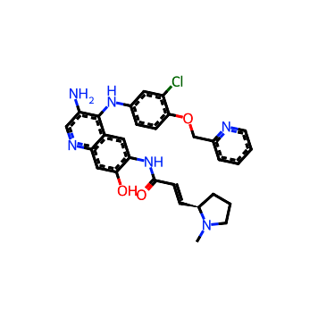 CN1CCC[C@@H]1/C=C/C(=O)Nc1cc2c(Nc3ccc(OCc4ccccn4)c(Cl)c3)c(N)cnc2cc1O